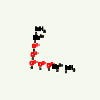 [InH3].[InH3].[Nb+5].[Nb+5].[O-2].[O-2].[O-2].[O-2].[O-2]